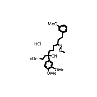 CCCCCCCCCCCCC(C#N)(CCCC(CCc1cccc(OC)c1)N=NC)c1ccc(OC)c(OC)c1.Cl